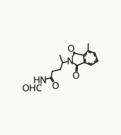 Cc1cccc2c1C(=O)N(C(C)CCC(=O)NC=O)C2=O